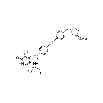 CO[C@@H]1CCN(Cc2ccc(C#Cc3ccc(C(CN[C@@H](C)CF)Cc4nc[nH]c(=O)c4O)cc3)cc2)C1